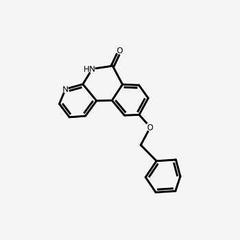 O=c1[nH]c2ncccc2c2cc(OCc3ccccc3)ccc12